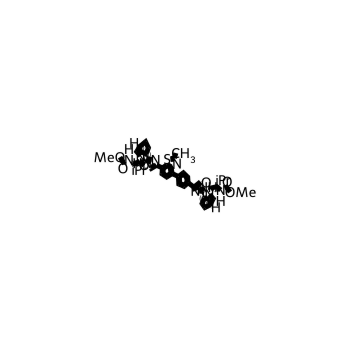 COC(=O)N[C@H](C(=O)N1C[C@@H]2CC[C@@]1(c1nc(-c3ccc(-c4ccc(-c5c[nH]c([C@@]67CC[C@@H](CN6C(=O)[C@@H](NC(=O)OC)C(C)C)C7)n5)c5sc(C)nc45)cc3)c[nH]1)C2)C(C)C